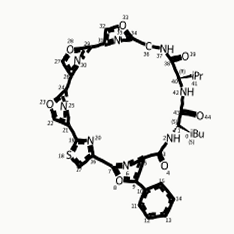 CC[C@H](C)[C@@H]1NC(=O)c2nc(oc2-c2ccccc2)-c2csc(n2)-c2coc(n2)-c2coc(n2)-c2coc(n2)CNC(=O)[C@@H](C(C)C)NC1=O